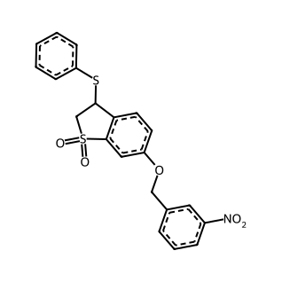 O=[N+]([O-])c1cccc(COc2ccc3c(c2)S(=O)(=O)CC3Sc2ccccc2)c1